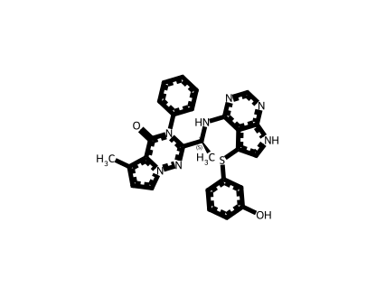 Cc1ccn2nc([C@H](C)Nc3ncnc4[nH]cc(Sc5cccc(O)c5)c34)n(-c3ccccc3)c(=O)c12